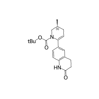 C[C@H]1CC=C(c2ccc3c(c2)CCC(=O)N3)N(C(=O)OC(C)(C)C)C1